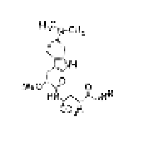 CO[C@@H](Cc1c[nH]c2cc(N(C)C)ccc12)C(=O)N[C@@H](CCC(=O)C=[N+]=[N-])C(=O)O